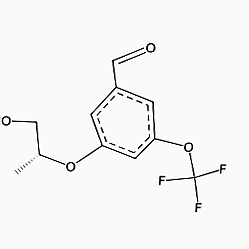 C[C@H](CO)Oc1cc(C=O)cc(OC(F)(F)F)c1